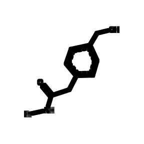 [CH2]CNC(=O)Cc1ccc(CO)cc1